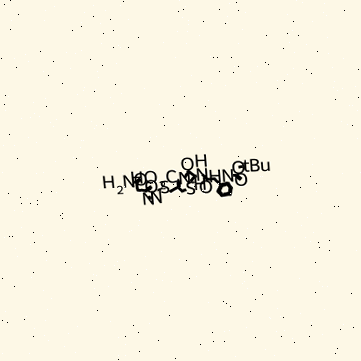 CC(C)(C)OC(=O)Nc1ccccc1CC(=O)NC1C(=O)N2C(C(=O)O)=C(CSc3nnc(CC(N)=O)o3)CS[C@H]12